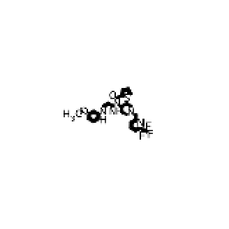 COc1cccc(N/C=C\C(=N)N(C(=O)c2cccs2)C2CCN(Cc3cccc(C(F)(F)F)n3)CC2)c1